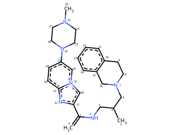 C=C(NCC(C)CN1CCc2ccccc2C1)c1cn2cc(N3CCN(C)CC3)ccc2n1